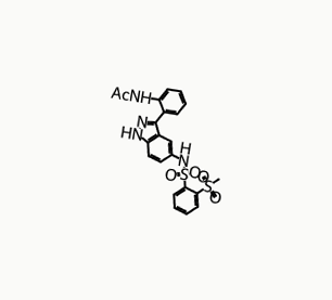 CC(=O)Nc1ccccc1-c1n[nH]c2ccc(NS(=O)(=O)c3ccccc3S(C)(=O)=O)cc12